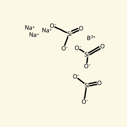 O=[Si]([O-])[O-].O=[Si]([O-])[O-].O=[Si]([O-])[O-].[B+3].[Na+].[Na+].[Na+]